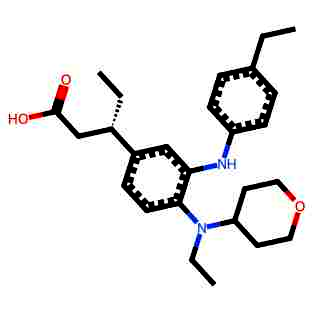 CCc1ccc(Nc2cc([C@@H](CC)CC(=O)O)ccc2N(CC)C2CCOCC2)cc1